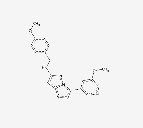 COc1ccc(CNc2nn3c(-c4cncc(OC)c4)cnc3s2)cc1